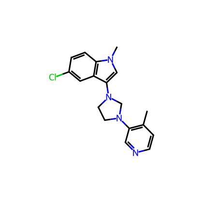 Cc1ccncc1N1CCN(c2cn(C)c3ccc(Cl)cc23)C1